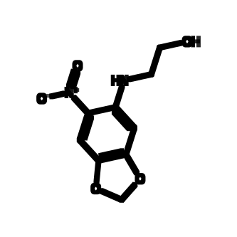 O=[N+]([O-])c1cc2c(cc1NCCO)OCO2